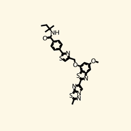 CCC(C)(C)NC(=O)c1ccc(-c2nc(COc3cc(OC)cc4nc(-c5cn6nc(C)sc6n5)sc34)cs2)cc1